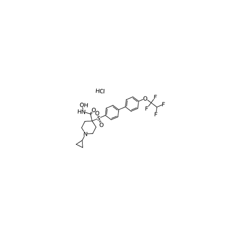 Cl.O=C(NO)C1(S(=O)(=O)c2ccc(-c3ccc(OC(F)(F)C(F)F)cc3)cc2)CCN(C2CC2)CC1